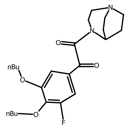 CCCCOc1cc(C(=O)C(=O)N2CCN3CCC2CC3)cc(F)c1OCCCC